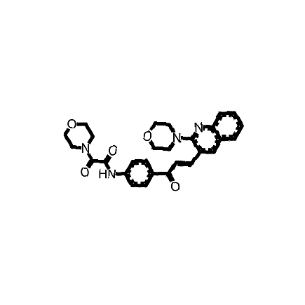 O=C(Nc1ccc(C(=O)C=Cc2cc3ccccc3nc2N2CCOCC2)cc1)C(=O)N1CCOCC1